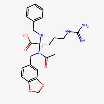 CC(=O)N(Cc1ccc2c(c1)OCO2)[C@](CCCNC(=N)N)(NCc1ccccc1)C(=O)O